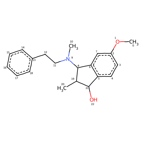 COc1ccc2c(c1)C(N(C)CCc1ccccc1)C(C)C2O